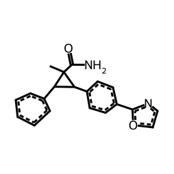 CC1(C(N)=O)C(c2ccccc2)C1c1ccc(-c2ncco2)cc1